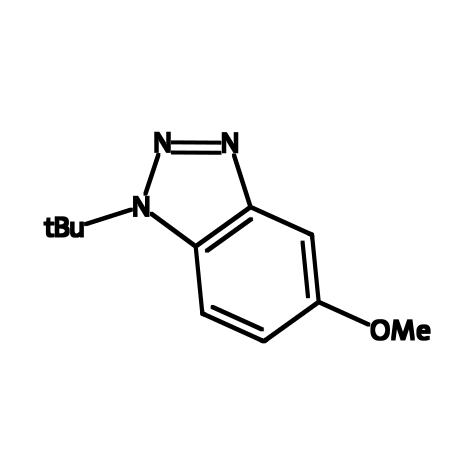 COc1ccc2c(c1)nnn2C(C)(C)C